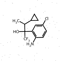 CC(C1CC1)C(O)(c1cc(Cl)ccc1N)C(F)(F)F